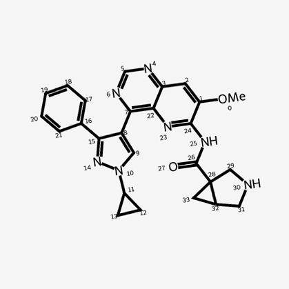 COc1cc2ncnc(-c3cn(C4CC4)nc3-c3ccccc3)c2nc1NC(=O)C12CNCC1C2